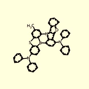 Cc1cc2c3c(c1)-n1c4c(ccc(N(c5ccccc5)c5ccccc5)c4c4oc5ccccc5c41)B3c1ccc(N(c3ccccc3)c3ccccc3)cc1S2